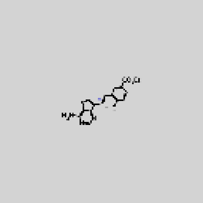 CCOC(=O)c1ccc(C)c(/C=C/c2csc3c(N)ncnc23)c1